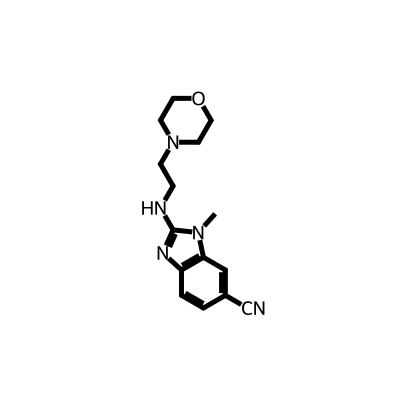 Cn1c(NCCN2CCOCC2)nc2ccc(C#N)cc21